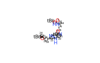 CC(C)(C)OC(=O)NC1(CCCOc2cc(Nc3cc([C@H]4CC[C@@H](O[Si](C)(C)C(C)(C)C)C4)nn3C(C)(C)C)ccn2)CC1